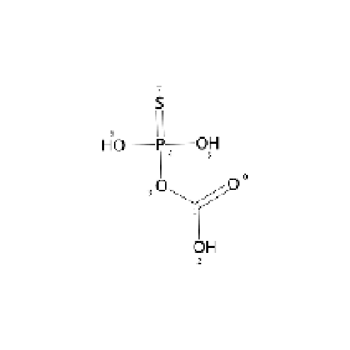 O=C(O)OP(O)(O)=S